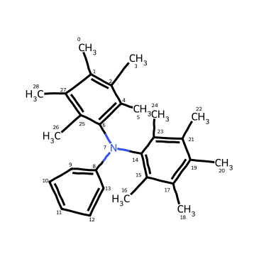 Cc1c(C)c(C)c(N(c2ccccc2)c2c(C)c(C)c(C)c(C)c2C)c(C)c1C